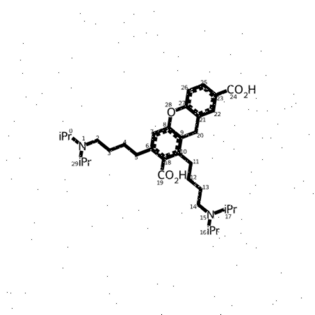 CC(C)N(CCCCc1cc2c(c(CCCCN(C(C)C)C(C)C)c1C(=O)O)Cc1cc(C(=O)O)ccc1O2)C(C)C